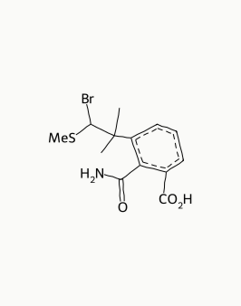 CSC(Br)C(C)(C)c1cccc(C(=O)O)c1C(N)=O